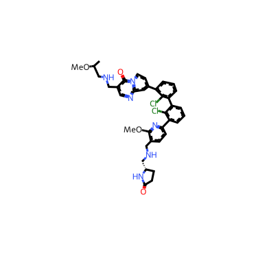 COc1nc(-c2cccc(-c3cccc(-c4ccn5c(=O)c(CNCC(C)OC)cnc5c4)c3Cl)c2Cl)ccc1CNC[C@@H]1CCC(=O)N1